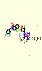 CCOC(=O)N(C)C(=O)C(C#N)NNc1cc(Cl)c(Oc2ccc3c(c2)CCN(Cc2ccc(F)c(F)c2)C3=O)c(Cl)c1